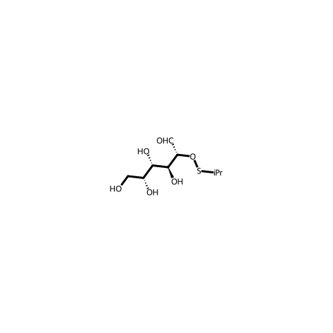 CC(C)SO[C@@H](C=O)[C@@H](O)[C@@H](O)[C@H](O)CO